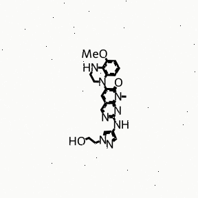 COc1cccc2c1NCCN2c1cc2cnc(Nc3cnn(CCO)c3)nc2n(C)c1=O